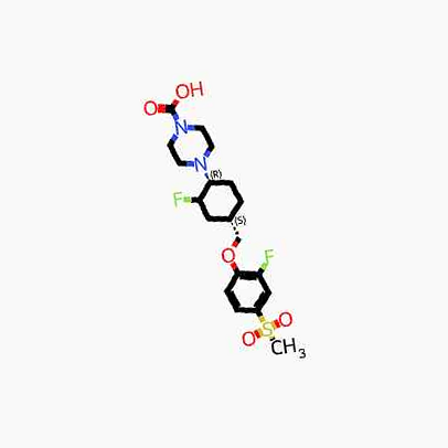 CS(=O)(=O)c1ccc(OC[C@H]2CC[C@@H](N3CCN(C(=O)O)CC3)C(F)C2)c(F)c1